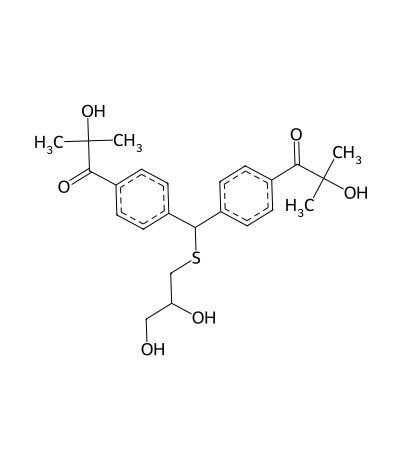 CC(C)(O)C(=O)c1ccc(C(SCC(O)CO)c2ccc(C(=O)C(C)(C)O)cc2)cc1